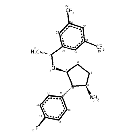 C[C@@H](O[C@H]1CC[C@@H](N)[C@@H]1c1ccc(F)cc1)c1cc(C(F)(F)F)cc(C(F)(F)F)c1